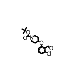 CC(C)(C)OC(=O)N1CCC(Oc2cccc(Cl)c2C=O)CC1